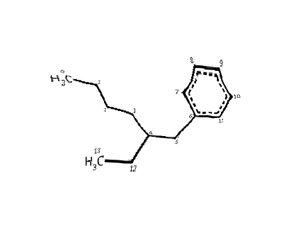 CCCCC([C]c1ccccc1)CC